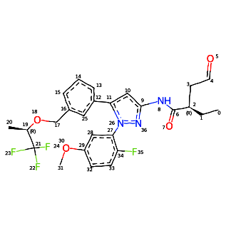 CC[C@H](CC=O)C(=O)Nc1cc(-c2cccc(CO[C@H](C)C(F)(F)F)c2)n(-c2cc(OC)ccc2F)n1